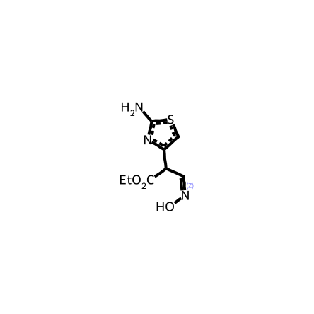 CCOC(=O)C(/C=N\O)c1csc(N)n1